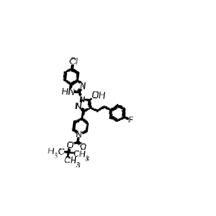 CC(C)(C)OC(=O)N1CCC(c2nn(-c3nc4cc(Cl)ccc4[nH]3)c(O)c2CCc2ccc(F)cc2)CC1